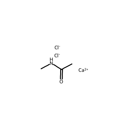 CNC(C)=O.[Ca+2].[Cl-].[Cl-]